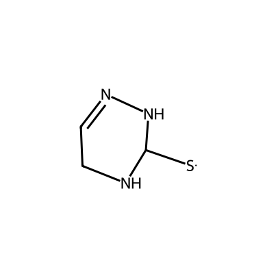 [S]C1NCC=NN1